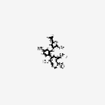 C\C=N/N=C(/C(=C\C(=C/C)CN)c1ccc(C#N)cc1OC1=CC(C2CC2)=NC1CCC)[C@H](C)CC